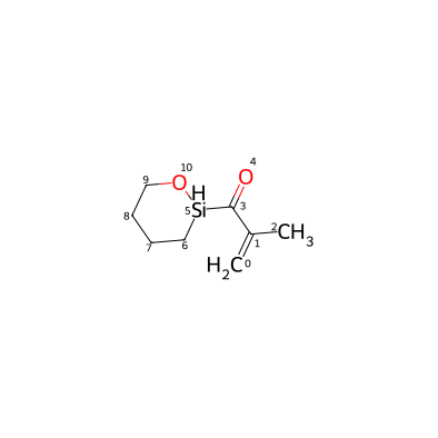 C=C(C)C(=O)[SiH]1CCCCO1